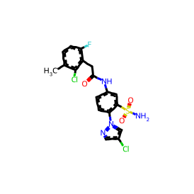 Cc1ccc(F)c(CC(=O)Nc2ccc(-n3cc(Cl)cn3)c(S(N)(=O)=O)c2)c1Cl